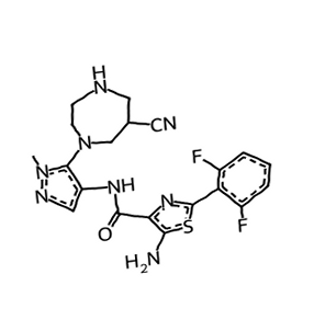 Cn1ncc(NC(=O)c2nc(-c3c(F)cccc3F)sc2N)c1N1CCNCC(C#N)C1